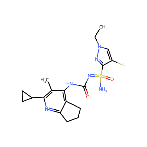 CCn1cc(F)c(S(N)(=O)=NC(=O)Nc2c(C)c(C3CC3)nc3c2CCC3)n1